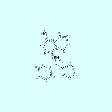 BC(c1ccccc1)c1ccccc1.Oc1cccc2cccnc12